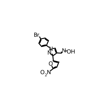 O=[N+]([O-])c1ccc(-c2nn(-c3ccc(Br)cc3)cc2C=NO)o1